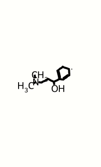 CN(C)CCC(O)C1=CC[CH]C=C1